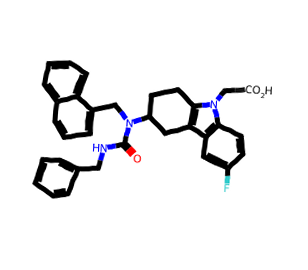 O=C(O)Cn1c2c(c3cc(F)ccc31)CC(N(Cc1cccc3ccccc13)C(=O)NCc1ccccc1)CC2